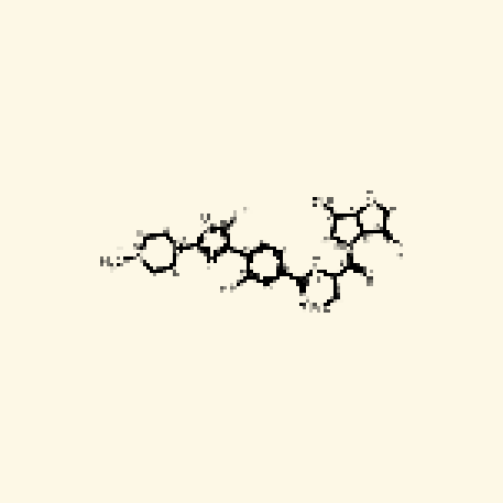 CC(C)CC(NC(=O)c1ccc(-c2nc(N3CCN(C)CC3)sc2F)c(F)c1)C(=O)N1CC(Cl)C2OCC(=O)C21